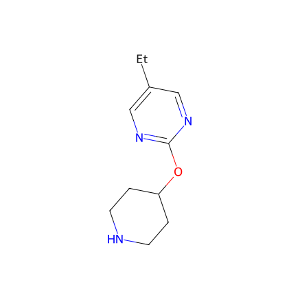 CCc1cnc(OC2CCNCC2)nc1